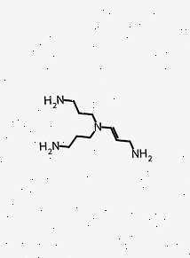 NCC=CN(CCCN)CCCN